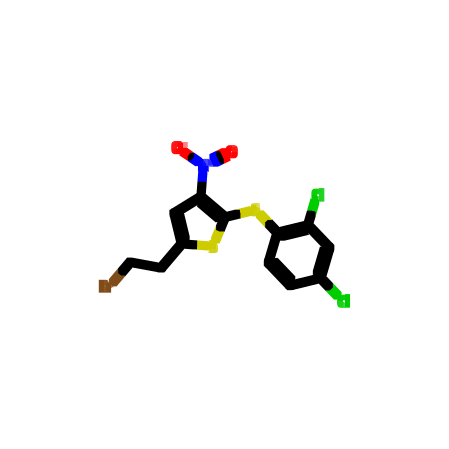 O=[N+]([O-])c1cc(CCBr)sc1Sc1ccc(Cl)cc1Cl